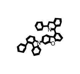 c1ccc(-c2cccc3c2c2ccccc2n3-c2ccc3c(c2)oc2cccc(C4=NC(c5ccccc5)Cc5ccccc54)c23)cc1